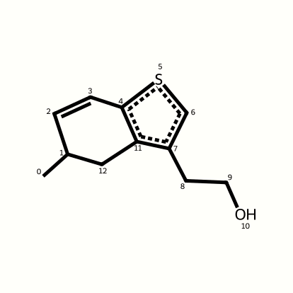 CC1C=Cc2scc(CCO)c2C1